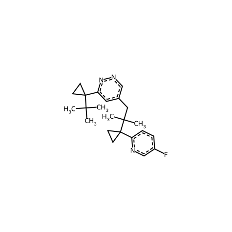 CC(C)(C)C1(c2cc(CC(C)(C)C3(c4ccc(F)cn4)CC3)cnn2)CC1